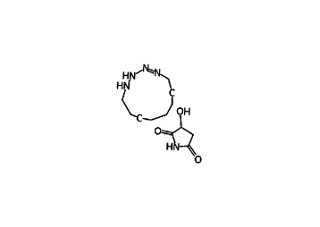 C1CCCCNNN=NCCC1.O=C1CC(O)C(=O)N1